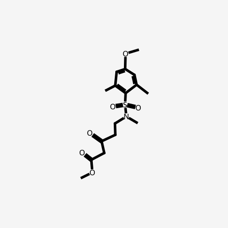 COC(=O)CC(=O)CCN(C)S(=O)(=O)c1c(C)cc(OC)cc1C